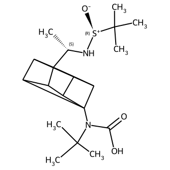 C[C@H](N[S@@+]([O-])C(C)(C)C)C12C3C4C1C1C2C3C41N(C(=O)O)C(C)(C)C